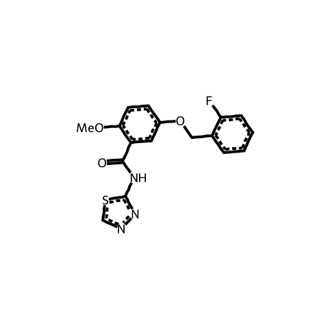 COc1ccc(OCc2ccccc2F)cc1C(=O)Nc1nncs1